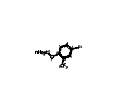 CCCCCCCOc1ccc(F)cc1C(F)(F)F